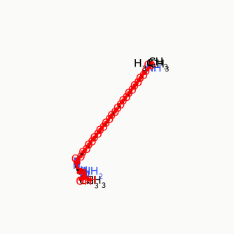 CCCCc1nc2c(N)nc3cc(CCCN4CCN(C(=O)CCOCCOCCOCCOCCOCCOCCOCCOCCOCCOCCOCCOCCOCCOCCOCCOCCOCCOCCOCCOCCOCCOCCOCCOCCNC(=O)OC(C)(C)C)CC4)ccc3c2n1CC(C)(CO)CO